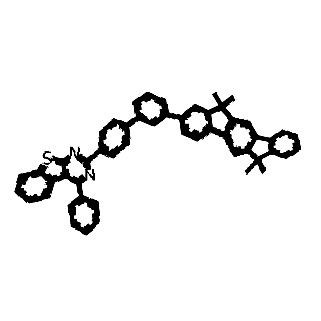 CC1(C)c2ccccc2-c2cc3c(cc21)-c1ccc(-c2cccc(-c4ccc(-c5nc(-c6ccccc6)c6c(n5)sc5ccccc56)cc4)c2)cc1C3(C)C